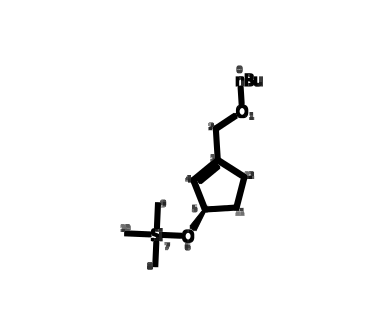 CCCCOCC1=C[C@H](O[Si](C)(C)C)CC1